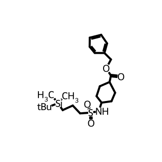 CC(C)(C)[Si](C)(C)CCCS(=O)(=O)NC1CCC(C(=O)OCc2ccccc2)CC1